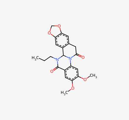 CCCN1C(=O)c2cc(OC)c(OC)cc2N2C(=O)Cc3cc4c(cc3C12)OCO4